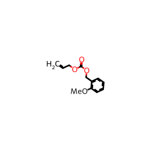 C=CCOC(=O)OCc1ccccc1OC